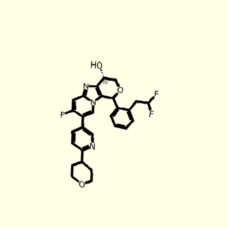 O[C@@H]1COC(c2ccccc2CC(F)F)c2c1nc1cc(F)c(-c3ccc(C4CCOCC4)nc3)cn21